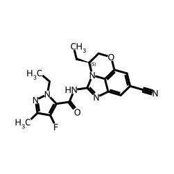 CC[C@H]1COc2cc(C#N)cc3nc(NC(=O)c4c(F)c(C)nn4CC)n1c23